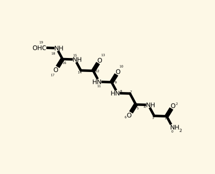 NC(=O)CNC(=O)CNC(=O)NC(=O)CNC(=O)NC=O